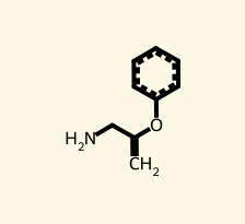 C=C(CN)Oc1ccccc1